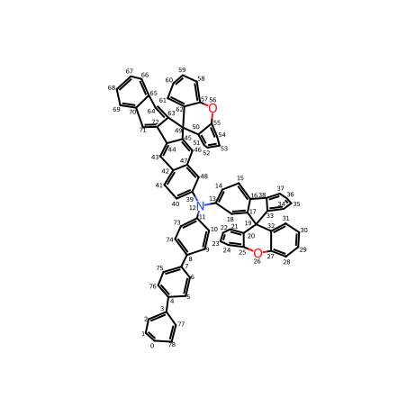 c1ccc(-c2ccc(-c3ccc(N(c4ccc5c(c4)C4(c6ccccc6Oc6ccccc64)c4ccccc4-5)c4ccc5cc6c(cc5c4)C4(c5ccccc5Oc5ccccc54)c4cc5ccccc5cc4-6)cc3)cc2)cc1